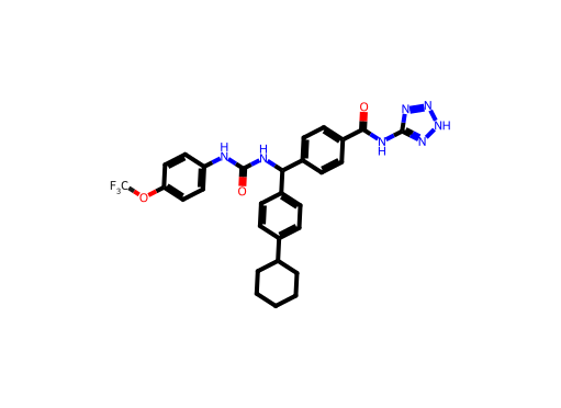 O=C(Nc1ccc(OC(F)(F)F)cc1)NC(c1ccc(C(=O)Nc2nn[nH]n2)cc1)c1ccc(C2CCCCC2)cc1